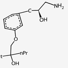 CCCC(O)(CC)COc1cccc(C[C@H](O)CN)c1